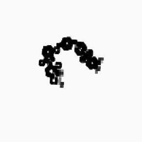 C=C1CCC(N2Cc3c(OCc4ccc(CN5CCN(S(=O)(=O)c6ccc(F)c(F)c6)CC5)cc4)cccc3C2=O)C(=O)N1